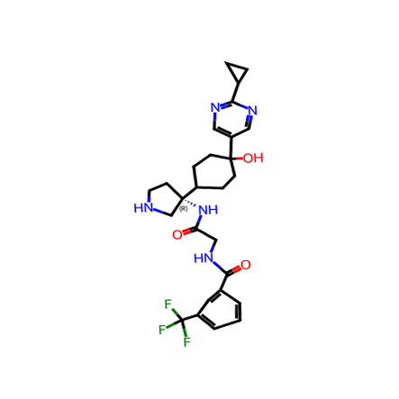 O=C(CNC(=O)c1cccc(C(F)(F)F)c1)N[C@@]1(C2CCC(O)(c3cnc(C4CC4)nc3)CC2)CCNC1